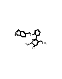 COc1cc(=O)n(C)nc1-c1ccccc1OCc1ccc2[nH]ncc2c1